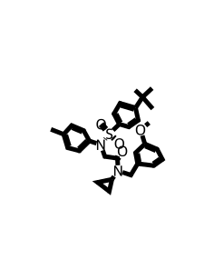 COc1cccc(CN(C(=O)CN(c2ccc(C)cc2)S(=O)(=O)c2ccc(C(C)(C)C)cc2)C2CC2)c1